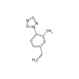 C=Cc1ccc(-n2cncn2)c(C)c1